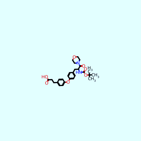 CC(C)(C)OC(=O)NC(Cc1ccc(Oc2ccc(CCC(=O)O)cc2)cc1)C(=O)N1CCOCC1